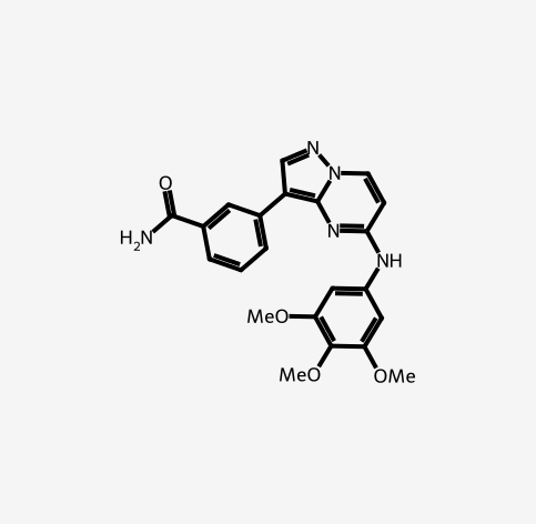 COc1cc(Nc2ccn3ncc(-c4cccc(C(N)=O)c4)c3n2)cc(OC)c1OC